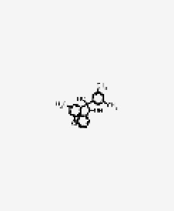 Cc1cc(C)cc(C(O)(c2cc(C)cc(C)c2)C(O)c2ccccc2)c1